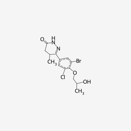 CC(O)COc1c(Cl)cc(C2=NNC(=O)CC2C)cc1Br